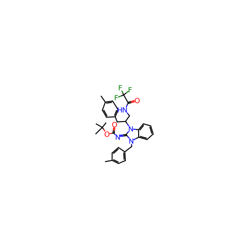 Cc1ccc(CC(CNC(=O)C(F)(F)F)n2c(=NC(=O)OC(C)(C)C)n(Cc3ccc(C)cc3)c3ccccc32)cc1